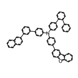 c1ccc(-c2ccccc2-c2ccc(N(c3ccc(-c4cccc(-c5ccc6ccccc6c5)c4)cc3)c3ccc(-c4ccc5oc6ccccc6c5c4)cc3)cc2)cc1